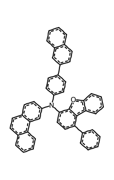 c1ccc(-c2ccc(N(c3ccc(-c4ccc5ccccc5c4)cc3)c3ccc4ccc5ccccc5c4c3)c3oc4ccccc4c23)cc1